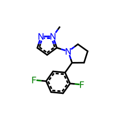 Cn1nccc1N1CCCC1c1cc(F)ccc1F